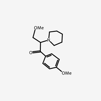 COCC(C(=O)c1ccc(OC)cc1)N1CCCCC1